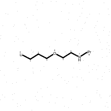 [Li][CH2]CCOCCNC(C)C